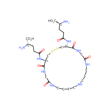 N[C@@H](CCC(=O)N[C@H]1CSSC[C@H](NC(=O)CC[C@H](N)C(=O)O)C(=O)NCC(=O)NCCCNCCCCNC(=O)CNC1=O)C(=O)O